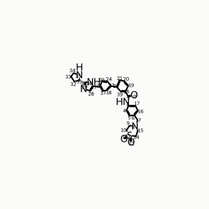 O=C(Nc1ccc(CN2CCS(=O)(=O)CC2)cc1)c1cccc(-c2ccc(-c3cnc([C@@H]4CCCN4)[nH]3)cc2)c1